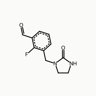 O=Cc1cccc(CN2CCNC2=O)c1F